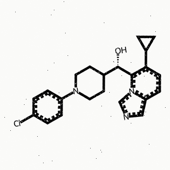 O[C@H](c1c(C2CC2)ccc2cncn12)C1CCN(c2ccc(Cl)cc2)CC1